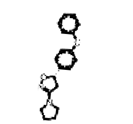 c1ccc(Oc2ccc([C@@H]3CC(N4CCCC4)=NO3)cc2)cc1